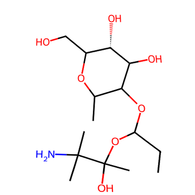 CCC(OC1C(C)OC(CO)[C@H](O)C1O)OC(C)(O)C(C)(C)N